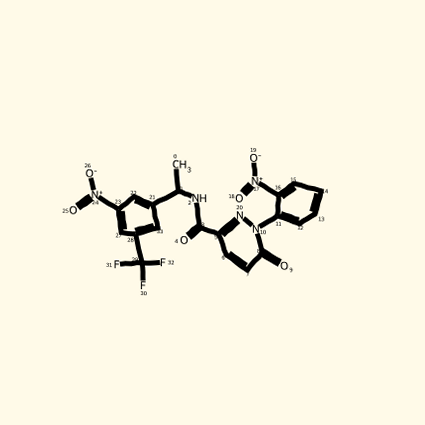 CC(NC(=O)c1ccc(=O)n(-c2ccccc2[N+](=O)[O-])n1)c1cc([N+](=O)[O-])cc(C(F)(F)F)c1